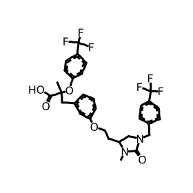 CN1C(=O)N(Cc2ccc(C(F)(F)F)cc2)CC1CCOc1cccc(CC(C)(Oc2ccc(C(F)(F)F)cc2)C(=O)O)c1